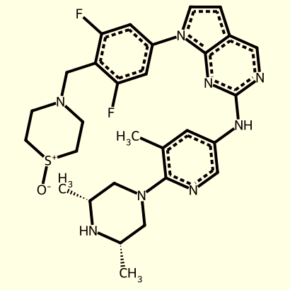 Cc1cc(Nc2ncc3ccn(-c4cc(F)c(CN5CC[S+]([O-])CC5)c(F)c4)c3n2)cnc1N1C[C@@H](C)N[C@@H](C)C1